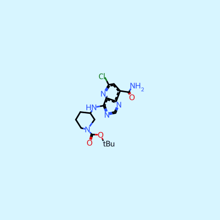 CC(C)(C)OC(=O)N1CCCC(Nc2ncnc3c(C(N)=O)cc(Cl)nc23)C1